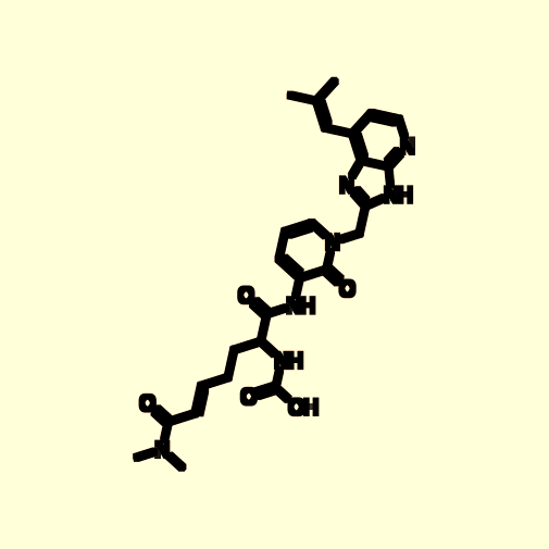 CC(C)=Cc1ccnc2[nH]c(Cn3cccc(NC(=O)C(CC/C=C/C(=O)N(C)C)NC(=O)O)c3=O)nc12